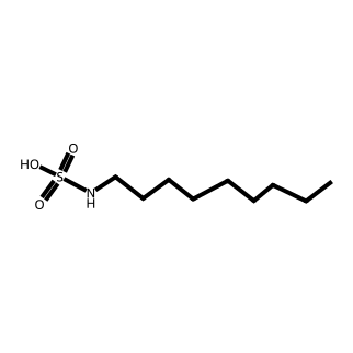 CCCCCCCCCNS(=O)(=O)O